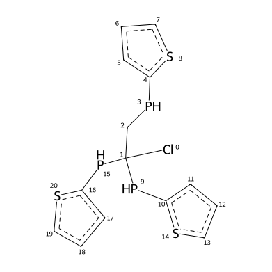 ClC(CPc1cccs1)(Pc1cccs1)Pc1cccs1